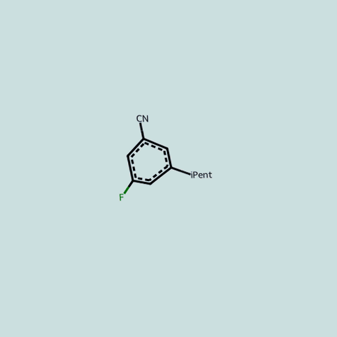 CCCC(C)c1cc(F)cc(C#N)c1